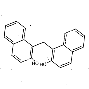 Oc1ccc2ccccc2c1Cc1c(O)ccc2ccccc12